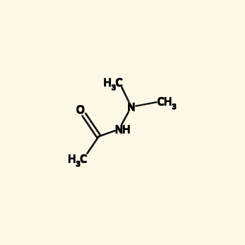 CC(=O)NN(C)C